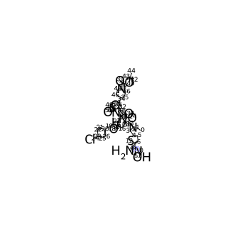 CCN(Cc1ccc(/C(N)=N/O)s1)C(=O)[C@@H]1C[C@@H](OCc2ccc(Cl)cc2)CN1C(=O)[C@@H](CCC1CCN(C(=O)OC(C)(C)C)CC1)NS(C)(=O)=O